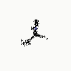 C=C(C)C(=O)OCCCCCCOc1ccc(/C=C(\C#N)c2ccc3c(c2)OCO3)cc1OCC